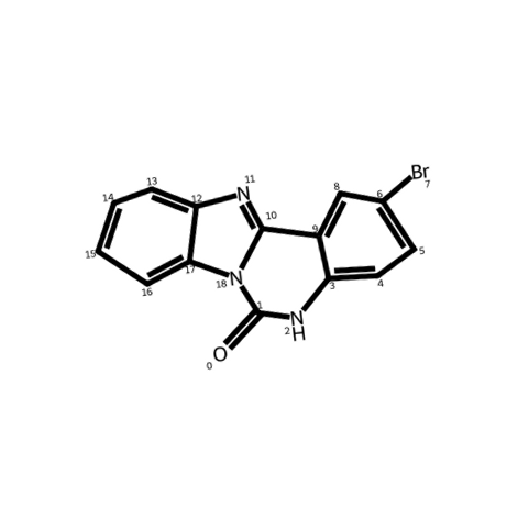 O=c1[nH]c2ccc(Br)cc2c2nc3ccccc3n12